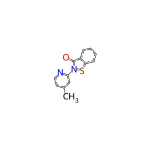 Cc1ccnc(-n2sc3ccccc3c2=O)c1